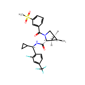 C[C@@H]1[C@@H]2CN(C(=O)c3cccc(S(C)(=O)=O)c3)[C@@H](C(=O)N[C@@H](c3ccc(C(F)(F)F)cc3F)C3CC3)[C@H]12